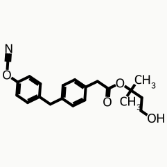 CC(C)(CCO)OC(=O)Cc1ccc(Cc2ccc(OC#N)cc2)cc1